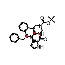 CC(C)(C)OC(=O)N1CCN(C(=O)OCc2ccccc2)C(c2ccccc2Cn2c(=S)[nH]c(=O)c3[nH]ccc32)C1